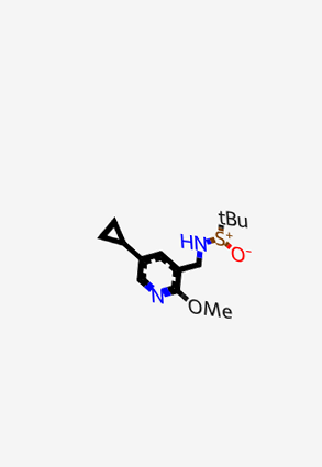 COc1ncc(C2CC2)cc1CN[S+]([O-])C(C)(C)C